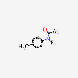 CCN(C(=O)C(C)=O)c1ccc(C)cc1